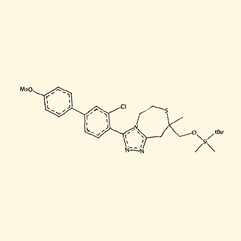 COc1ccc(-c2ccc(-c3nnc4n3CCSC(C)(CO[Si](C)(C)C(C)(C)C)C4)c(Cl)c2)cc1